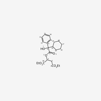 CCOC(=O)CC(OC(=O)C(O)(c1ccccc1)C1CCCCC1)C(=O)OCC